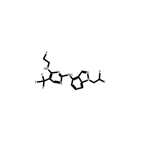 FCCNc1nc(Nc2cccc3c2cnn3CC(F)F)ncc1C(F)(F)F